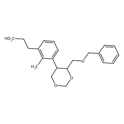 Cc1c(CCC(=O)O)cccc1C1COCOC1COCc1ccccc1